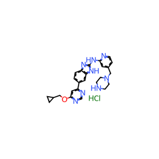 Cl.c1cc(CN2CCNCC2)cc(Nc2nc3ccc(-c4cc(OCC5CC5)ncn4)cc3[nH]2)n1